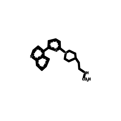 O=C(O)NCCC1CCN(c2cccc(-c3ccnc4ccccc34)n2)CC1